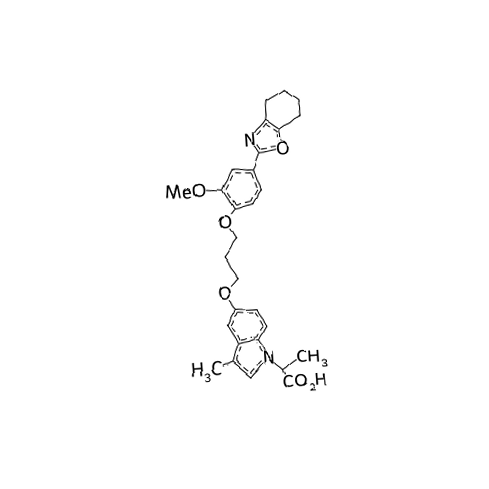 COc1cc(-c2nc3c(o2)CCCC3)ccc1OCCCOc1ccc2c(c1)c(C)cn2C(C)C(=O)O